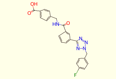 O=C(O)c1ccc(CNC(=O)c2cccc(-c3nnn(Cc4ccc(F)cc4)n3)c2)cc1